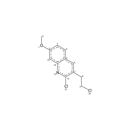 COc1ccc2cc(CCCl)c(Cl)nc2c1